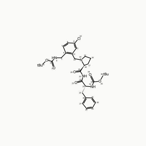 CC(C)(C)OC(=O)NCc1ccc(Cl)cc1CN1CCC[C@H]1C(=O)NC(=O)[C@@H](Cc1ccccc1)NC(=O)OC(C)(C)C